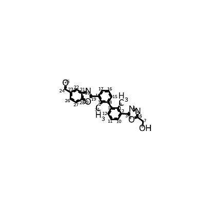 Cc1c(-c2nnc(CO)o2)cccc1-c1cccc(-c2nc3cc(C=O)ccc3o2)c1C